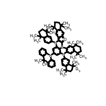 CC1(C)CCC(C)(C)c2cc(N3c4cc5c(cc4B4c6oc7cc8c(cc7c6N(c6ccc7c(c6)C(C)(C)CCC7(C)C)c6cc(N7c9ccccc9C(C)(C)c9ccccc97)cc3c64)C(C)(C)CCC8(C)C)C(C)(C)CCC5(C)C)ccc21